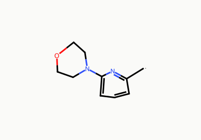 [CH2]c1cccc(N2CCOCC2)n1